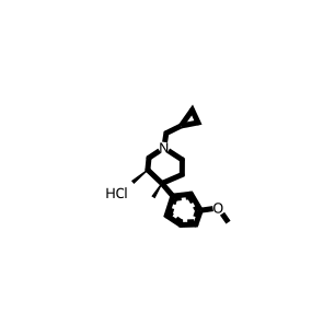 COc1cccc([C@@]2(C)CCN(CC3CC3)C[C@@H]2C)c1.Cl